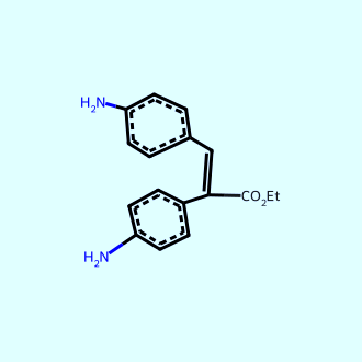 CCOC(=O)/C(=C/c1ccc(N)cc1)c1ccc(N)cc1